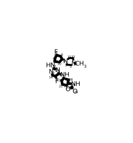 CN1CCN(c2cc(F)cc(Nc3ncc(F)c(Nc4ccc5oc(=O)[nH]c5c4)n3)c2)CC1